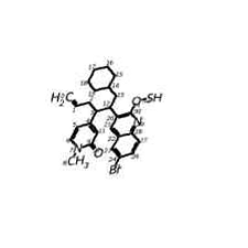 C=CCC(c1ccn(C)c(=O)c1)C(CC1CCCCC1)c1cc2cc(Br)ccc2nc1OS